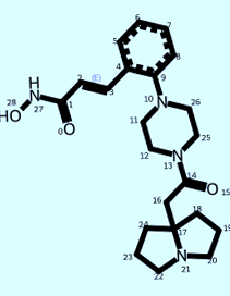 O=C(/C=C/c1ccccc1N1CCN(C(=O)CC23CCCN2CCC3)CC1)NO